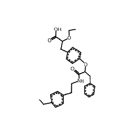 CCOC(Cc1ccc(OC(Cc2ccccc2)C(=O)NCCc2ccc(CC)cc2)cc1)C(=O)O